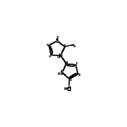 CC1SC=CN1c1ccc(Cl)s1